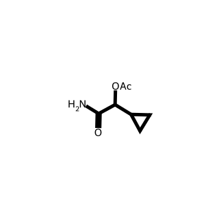 CC(=O)OC(C(N)=O)C1CC1